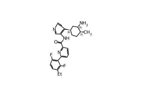 CCc1ccc(F)c(-c2cccc(C(=O)Nc3cnccc3[C@@H]3CC[C@H](C)[C@H](N)C3)n2)c1F